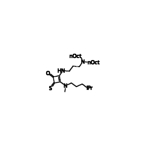 CCCCCCCCN(CCCCCCCC)CCCNc1c(N(C)CCCC(C)C)c(=S)c1=O